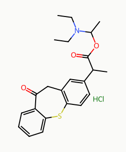 CCN(CC)C(C)OC(=O)C(C)c1ccc2c(c1)CC(=O)c1ccccc1S2.Cl